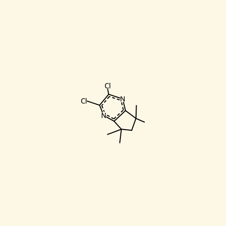 CC1(C)CC(C)(C)c2nc(Cl)c(Cl)nc21